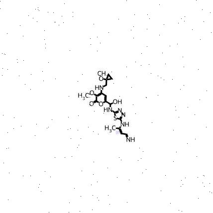 COc1c(NCC2(OC)CC2)cc(C(O)Nc2nnc(N/C(C)=C\C=N)s2)oc1=O